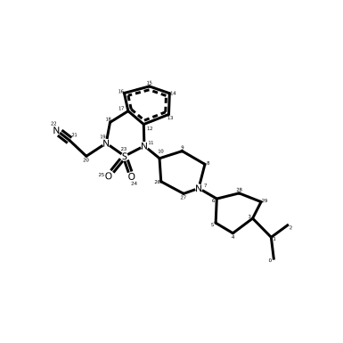 CC(C)C1CCC(N2CCC(N3c4ccccc4CN(CC#N)S3(=O)=O)CC2)CC1